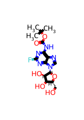 CC(C)(C)OC(=O)Nc1nc(F)nc2c1ncn2[C@@H]1O[C@H](CO)C(O)[C@H]1O